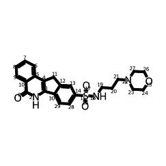 O=c1[nH]c2c(c3ccccc13)Cc1cc(S(=O)(=O)NCCCN3CCOCC3)ccc1-2